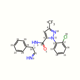 N=C[C@@H](NC(=O)c1cc(C(F)(F)F)nn1-c1ccccc1Cl)c1ccccc1